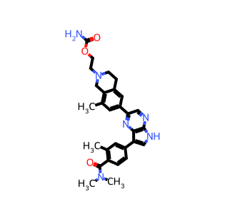 Cc1cc(-c2c[nH]c3ncc(-c4cc(C)c5c(c4)CCN(CCOC(N)=O)C5)nc23)ccc1C(=O)N(C)C